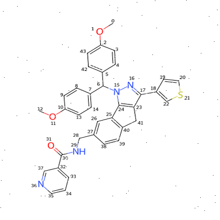 COc1ccc(C(c2ccc(OC)cc2)n2nc(-c3ccsc3)c3c2-c2cc(CNC(=O)c4cccnc4)ccc2C3)cc1